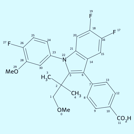 COCC(C)(C)c1c(-c2ccc(C(=O)O)cc2)c2cc(F)c(F)cc2n1-c1ccc(F)c(OC)c1